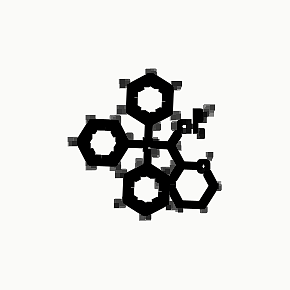 CC(C1OCCCO1)[P+](c1ccccc1)(c1ccccc1)c1ccccc1.[Br-]